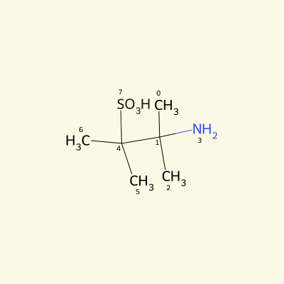 CC(C)(N)C(C)(C)S(=O)(=O)O